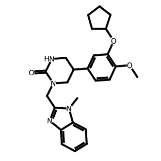 COc1ccc(C2CNC(=O)N(Cc3nc4ccccc4n3C)C2)cc1OC1CCCC1